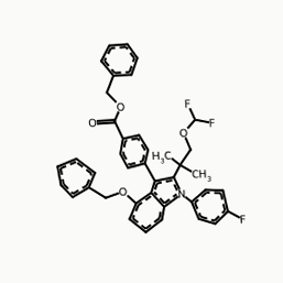 CC(C)(COC(F)F)c1c(-c2ccc(C(=O)OCc3ccccc3)cc2)c2c(OCc3ccccc3)cccc2n1-c1ccc(F)cc1